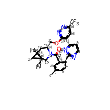 Cc1ccc(-c2ncccn2)c(C(=O)N2C[C@@H]3C[C@@H]3C[C@H]2COc2ccc(C(F)(F)F)nn2)c1